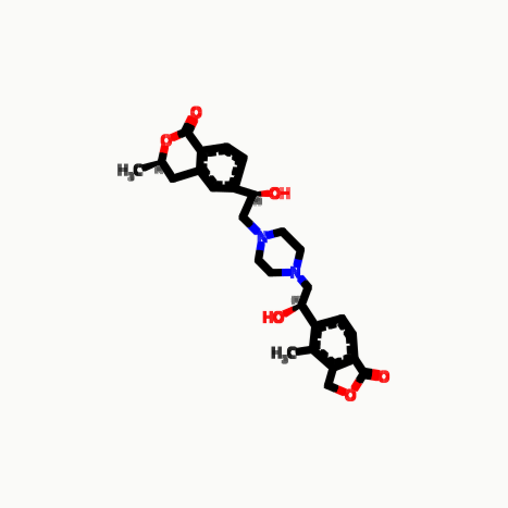 Cc1c([C@@H](O)CN2CCN(C[C@H](O)c3ccc4c(c3)C[C@@H](C)OC4=O)CC2)ccc2c1COC2=O